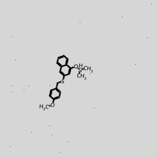 COc1ccc(CSc2cc(O[SiH](C)C)c3ccccc3c2)cc1